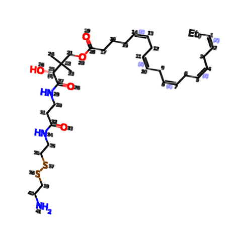 CC/C=C\C/C=C\C/C=C\C/C=C\C/C=C\CCCC(=O)OCC(C)(C)[C@@H](O)C(=O)NCCC(=O)NCCSSCCN